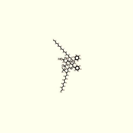 CCCCCCCCCCCCCCON(CC(CNC(=O)[C@H](CC(=O)O)NC(=O)OC(C)(C)C)N(OCCCCCCCCCCCCCC)c1ccccc1)c1ccccc1